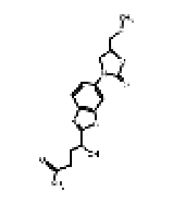 COCC1CN(c2ccc3nc([C@@H](O)CCC(N)=O)sc3c2)C(=O)O1